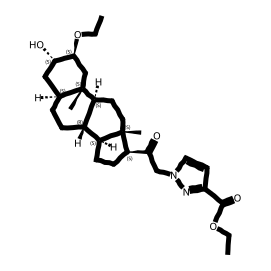 CCOC(=O)c1ccn(CC(=O)[C@H]2CC[C@H]3[C@@H]4CC[C@H]5C[C@H](O)[C@@H](OCC)C[C@]5(C)[C@H]4CC[C@]23C)n1